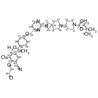 CC(C)(C)OC(=O)N1CCC(N2CCC3(CC2)CN(c2nccc(COc4ccc(C(C)(C)c5cc(Cl)c(OCCCl)c(C#N)c5)cc4)n2)C3)CC1